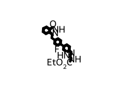 CCOC(=O)Nc1nc2ccc(-c3ccc(Cc4n[nH]c(=O)c5ccccc45)cc3F)cc2[nH]1